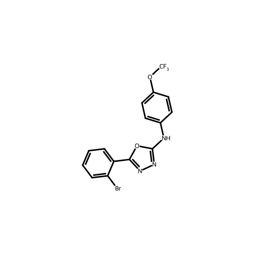 FC(F)(F)Oc1ccc(Nc2nnc(-c3ccccc3Br)o2)cc1